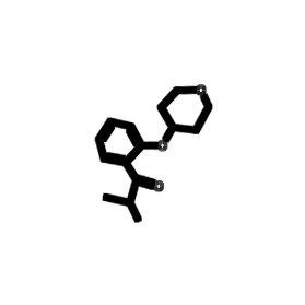 CC(C)C(=O)c1ccccc1OC1CCOCC1